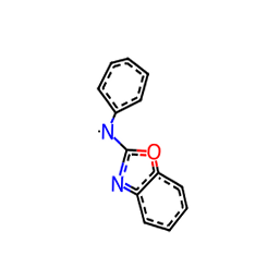 c1ccc([N]c2nc3ccccc3o2)cc1